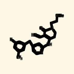 COCCN1CCC(Nc2cc(Cc3cc(F)cc(C(F)(F)F)c3)ccn2)=C(C=N)C1=O